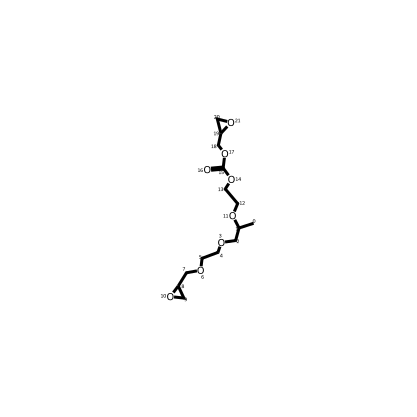 CC(COCCOCC1CO1)OCCOC(=O)OCC1CO1